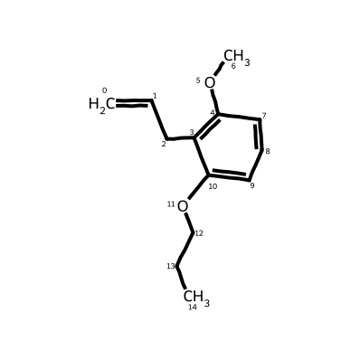 C=CCc1c(OC)cccc1OCCC